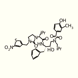 Cc1cc(S(=O)(=O)N(CC(C)C)C[C@H](O)[C@H](Cc2ccccc2)NC(=O)[C@H](C(C)C)N2CCN(Cc3csc([N+](=O)[O-])c3)C2=O)ccc1O